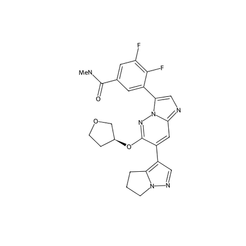 CNC(=O)c1cc(F)c(F)c(-c2cnc3cc(-c4cnn5c4CCC5)c(O[C@H]4CCOC4)nn23)c1